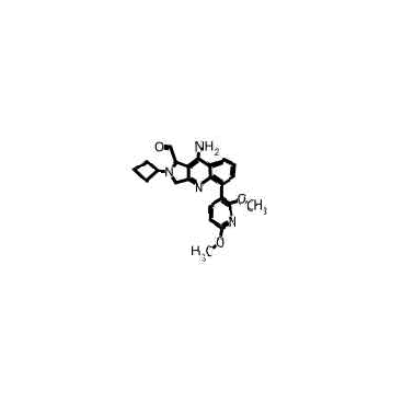 COc1ccc(-c2cccc3c(N)c4c(nc23)CN(C2CCC2)C4C=O)c(OC)n1